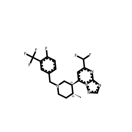 C[C@@H]1CCN(Cc2ccc(F)c(C(F)(F)F)c2)C[C@H]1c1cc(C(F)F)nc2ncnn12